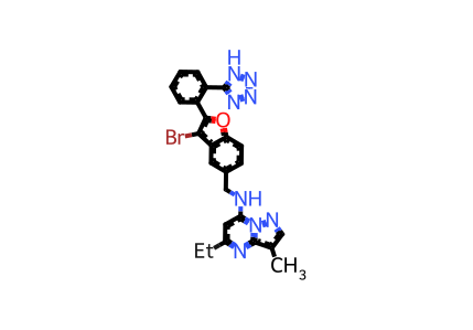 CCc1cc(NCc2ccc3oc(-c4ccccc4-c4nnn[nH]4)c(Br)c3c2)n2ncc(C)c2n1